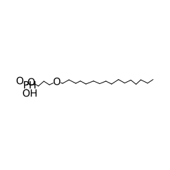 CCCCCCCCCCCCCCCCOCCCO[PH](=O)O